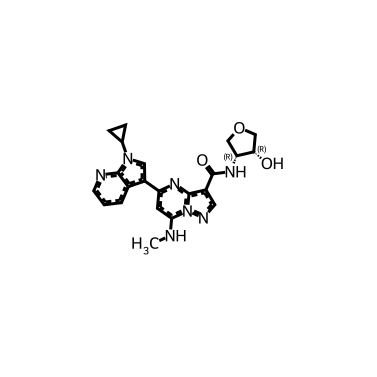 CNc1cc(-c2cn(C3CC3)c3ncccc23)nc2c(C(=O)N[C@@H]3COC[C@@H]3O)cnn12